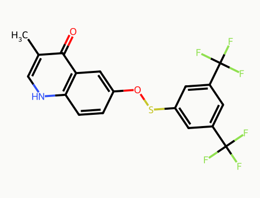 Cc1c[nH]c2ccc(OSc3cc(C(F)(F)F)cc(C(F)(F)F)c3)cc2c1=O